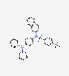 CC(C)(C)c1ccc(C(C)(C)N(c2ccc(N(c3ccccc3)c3ccccc3)cc2)c2ccc3ccccc3c2)cc1